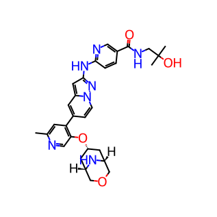 Cc1cc(-c2ccn3nc(Nc4ccc(C(=O)NCC(C)(C)O)cn4)cc3c2)c(O[C@H]2C[C@H]3COC[C@@H](C2)N3)cn1